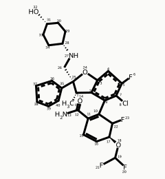 C[C@H]1c2c(cc(F)c(Cl)c2C2=C(C(N)=O)C=C[C@H](OC(F)F)C2F)O[C@]1(CN[C@H]1CC[C@@H](O)CC1)c1ccccc1